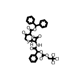 O=C(OCC(Cl)(Cl)Cl)OC(C(=O)NC1C(=O)N2C(C(=O)OC(c3ccccc3)c3ccccc3)C(=O)CS[C@@H]12)c1ccccc1